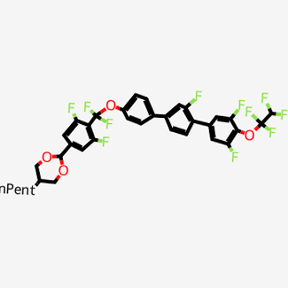 CCCCCC1COC(c2cc(F)c(C(F)(F)Oc3ccc(-c4ccc(-c5cc(F)c(OC(F)(F)C(F)F)c(F)c5)c(F)c4)cc3)c(F)c2)OC1